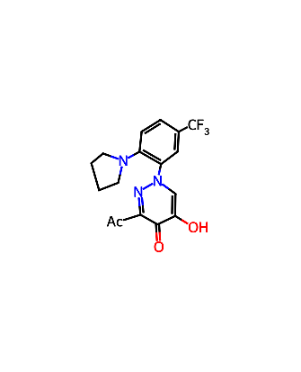 CC(=O)c1nn(-c2cc(C(F)(F)F)ccc2N2CCCC2)cc(O)c1=O